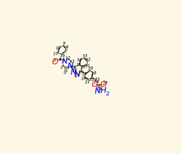 CC1CN(C(=O)c2ccccc2)CCN1c1nnc(-c2ccc(COC(N)=O)cc2)c2ccccc12